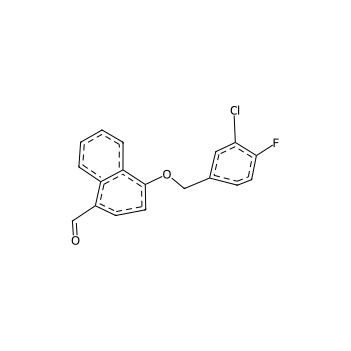 O=Cc1ccc(OCc2ccc(F)c(Cl)c2)c2ccccc12